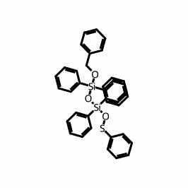 c1ccc(CO[Si](O[Si](OSc2ccccc2)(c2ccccc2)c2ccccc2)(c2ccccc2)c2ccccc2)cc1